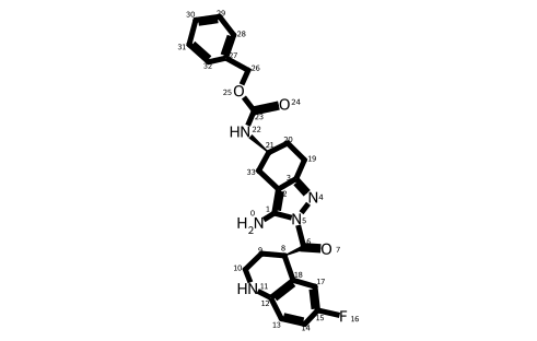 Nc1c2c(nn1C(=O)[C@@H]1CCNc3ccc(F)cc31)CC[C@H](NC(=O)OCc1ccccc1)C2